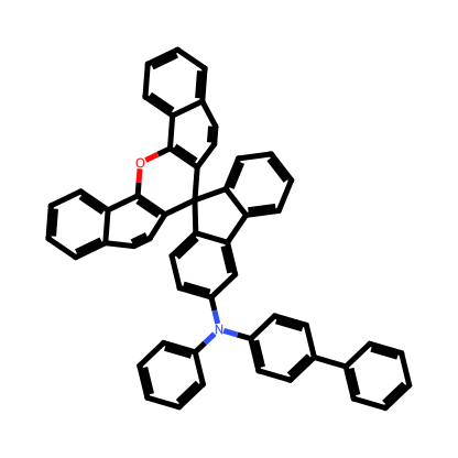 c1ccc(-c2ccc(N(c3ccccc3)c3ccc4c(c3)-c3ccccc3C43c4ccc5ccccc5c4Oc4c3ccc3ccccc43)cc2)cc1